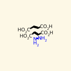 NN.O=C(O)/C=C/C(=O)O.O=C(O)/C=C/C(=O)O